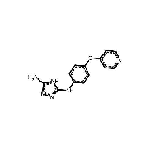 Nc1nnc(Nc2ccc(Oc3ccncc3)cc2)[nH]1